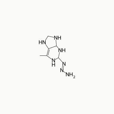 CC1=C2NCNC2NC(N=NN)N1